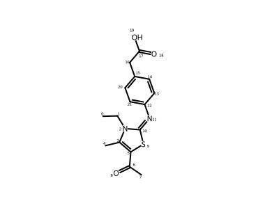 CCn1c(C)c(C(C)=O)sc1=Nc1ccc(CC(=O)O)cc1